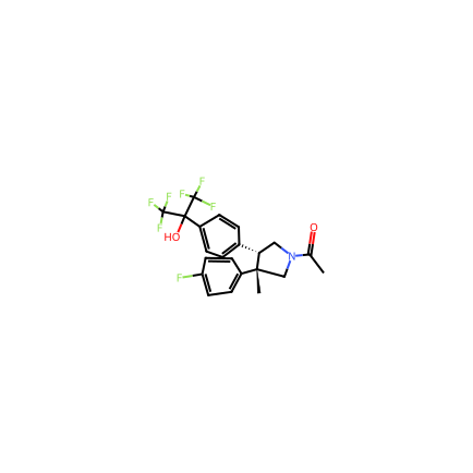 CC(=O)N1C[C@@H](c2ccc(C(O)(C(F)(F)F)C(F)(F)F)cc2)[C@@](C)(c2ccc(F)cc2)C1